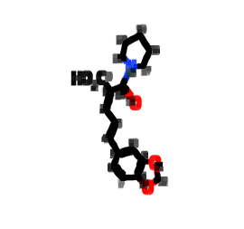 O=C(O)/C(=C/C=Cc1ccc2c(c1)OCO2)C(=O)N1CCCCC1